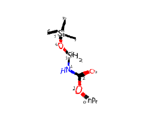 CCCOC(=O)N[SiH2]O[Si](C)(C)C